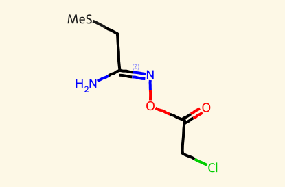 CSC/C(N)=N/OC(=O)CCl